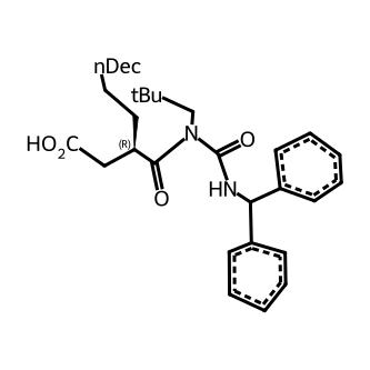 CCCCCCCCCCCC[C@H](CC(=O)O)C(=O)N(CC(C)(C)C)C(=O)NC(c1ccccc1)c1ccccc1